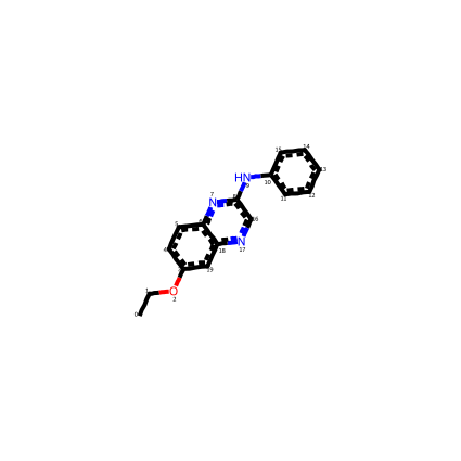 CCOc1ccc2nc(Nc3ccccc3)cnc2c1